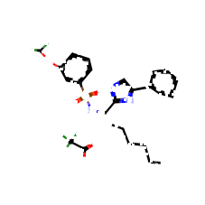 CC(=O)CCCCC[C@H](NS(=O)(=O)c1cccc(OC(F)F)c1)c1ncc(-c2ccccc2)[nH]1.O=C(O)C(F)(F)F